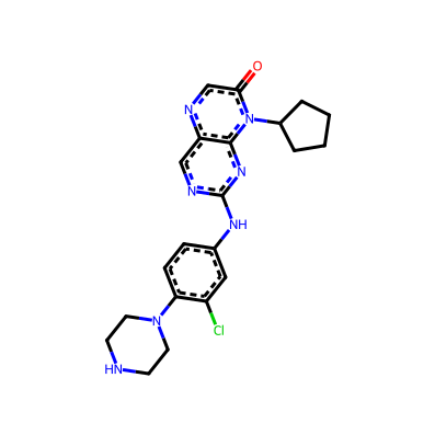 O=c1cnc2cnc(Nc3ccc(N4CCNCC4)c(Cl)c3)nc2n1C1CCCC1